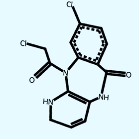 O=C1NC2=C(NCC=C2)N(C(=O)CCl)c2cc(Cl)ccc21